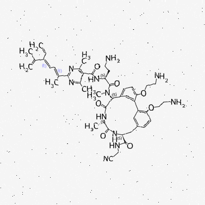 C=C/C(=C\C=C(/C)c1nc(C)c(C(=O)N[C@@H](CCN)C(=O)N(C)[C@@H]2C(=O)N[C@@H](C)C(=O)N[C@H](C(=O)NCC#N)Cc3ccc(OCCN)c(c3)-c3cc2ccc3OCCN)c(C)n1)C(=C)C